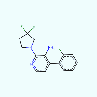 Nc1c(-c2ccccc2F)ccnc1N1CCC(F)(F)C1